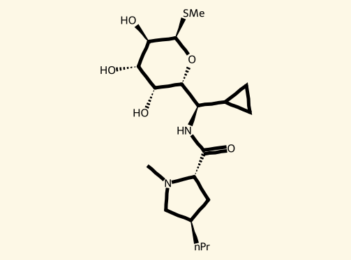 CCC[C@@H]1C[C@@H](C(=O)N[C@H](C2CC2)[C@H]2O[C@H](SC)[C@H](O)[C@@H](O)[C@H]2O)N(C)C1